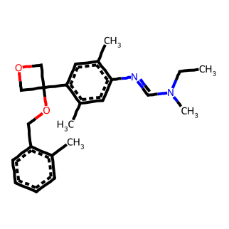 CCN(C)C=Nc1cc(C)c(C2(OCc3ccccc3C)COC2)cc1C